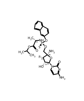 CC(C)OC(=O)[C@H](C)NP(=S)(OC[C@@]1(N)O[C@@H](n2ccc(N)nc2=O)[C@H](O)[C@@H]1F)Oc1ccc2ccccc2c1